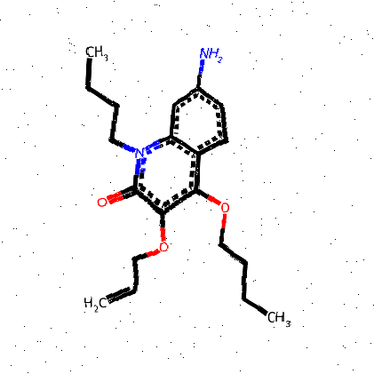 C=CCOc1c(OCCCC)c2ccc(N)cc2n(CCCC)c1=O